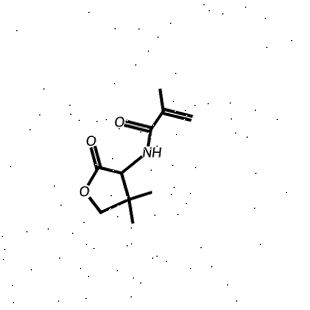 C=C(C)C(=O)NC1C(=O)OCC1(C)C